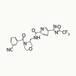 N#Cc1cccc(C(=O)N2CCOC[C@@H]2CNC(=O)c2ccc(-c3noc(C(F)(F)F)n3)cn2)c1